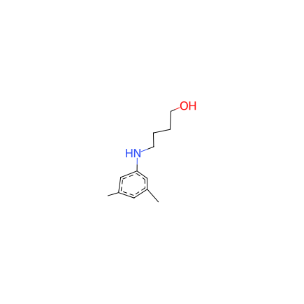 Cc1cc(C)cc(NCCCCO)c1